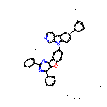 c1ccc(-c2ccc3c(c2)c2ccncc2n3-c2ccc3oc4c(-c5ccccc5)nc(-c5ccccc5)nc4c3c2)cc1